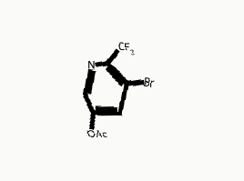 CC(=O)Oc1cnc(C(F)(F)F)c(Br)c1